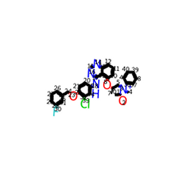 CC(=O)[N+](C)(C[C@@H](C)Oc1cccc2ncnc(Nc3ccc(OCc4cccc(F)c4)c(Cl)c3)c12)c1ccccc1